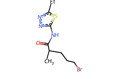 CCc1nnc(NC(=O)C(C)CCCBr)s1